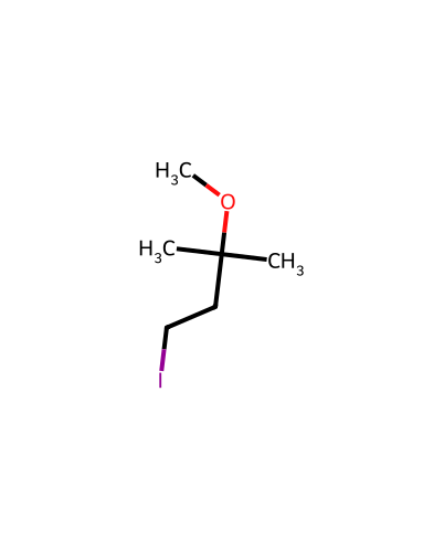 COC(C)(C)CCI